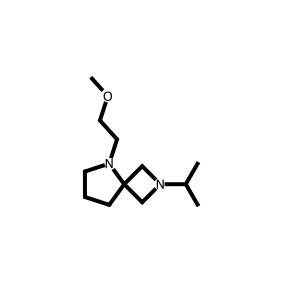 COCCN1CCCC12CN(C(C)C)C2